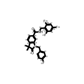 CC1(C)C(=O)N(Cc2ccc(F)cc2)c2cc(C(=O)NCc3c(F)cc(F)cc3F)ccc21